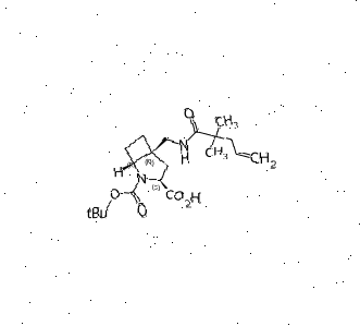 C=CCC(C)(C)C(=O)NC[C@]12CC[C@H]1N(C(=O)OC(C)(C)C)[C@H](C(=O)O)C2